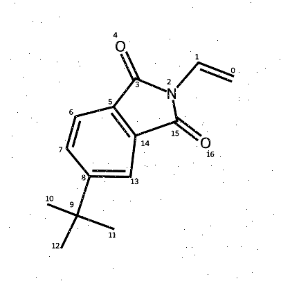 C=CN1C(=O)c2ccc(C(C)(C)C)cc2C1=O